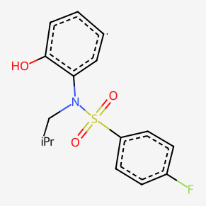 CC(C)CN(c1c[c]ccc1O)S(=O)(=O)c1ccc(F)cc1